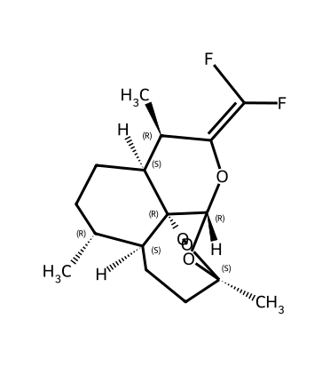 C[C@@H]1CC[C@H]2[C@@H](C)C(=C(F)F)O[C@@H]3O[C@]4(C)CC[C@@H]1[C@]32OO4